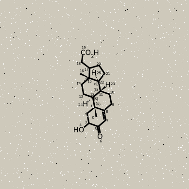 C[C@]12CC(O)C(=O)C=C1CC[C@@H]1[C@@H]2CC[C@]2(C)C(CC(=O)O)CC[C@@H]12